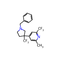 Cc1cc(C2(C(F)(F)F)CCN(Cc3ccccc3)C2)cc(C(F)(F)F)n1